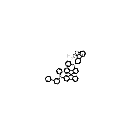 CC1(C)C2=C(C=CC(N(c3ccccc3)c3cccc4c3-c3ccccc3C43c4ccccc4-c4ccc(N(C5=CC(C6=CCCC=C6)CCC5)c5ccccc5)cc43)C2)C2C=CC=CC21